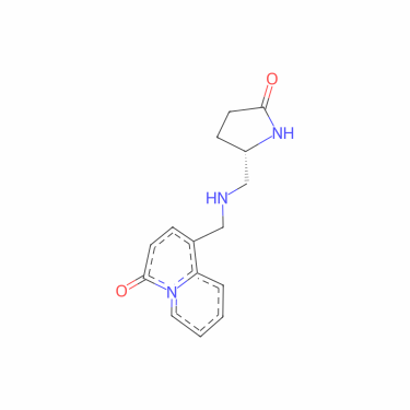 O=C1CC[C@@H](CNCc2ccc(=O)n3ccccc23)N1